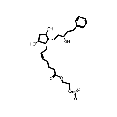 O=C(CCC/C=C\C[C@@H]1[C@@H](CC[C@@H](O)CCc2ccccc2)[C@H](O)C[C@@H]1O)OCCO[N+](=O)[O-]